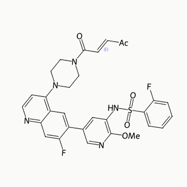 COc1ncc(-c2cc3c(N4CCN(C(=O)/C=C/C(C)=O)CC4)ccnc3cc2F)cc1NS(=O)(=O)c1ccccc1F